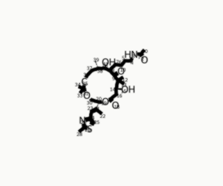 CC(=O)NCCCCC1C(=O)C(C)(C)[C@@H](O)CC(=O)O[C@H](/C(C)=C/c2csc(C)n2)COC(C)(C)CCC[C@H](C)[C@@H]1O